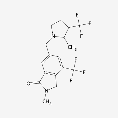 CC1C(C(F)(F)F)CCN1Cc1cc2c(c(C(F)(F)F)c1)CN(C)C2=O